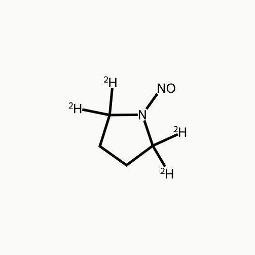 [2H]C1([2H])CCC([2H])([2H])N1N=O